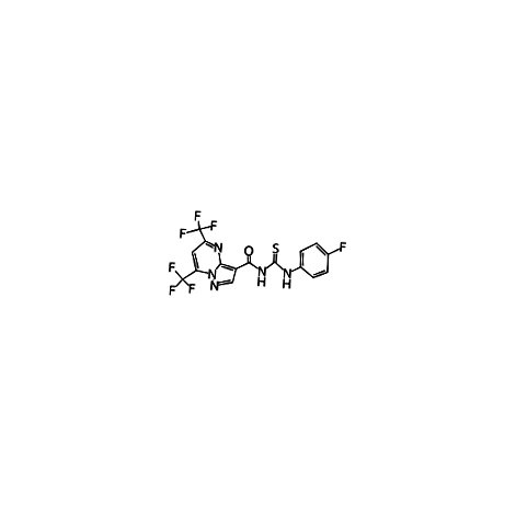 O=C(NC(=S)Nc1ccc(F)cc1)c1cnn2c(C(F)(F)F)cc(C(F)(F)F)nc12